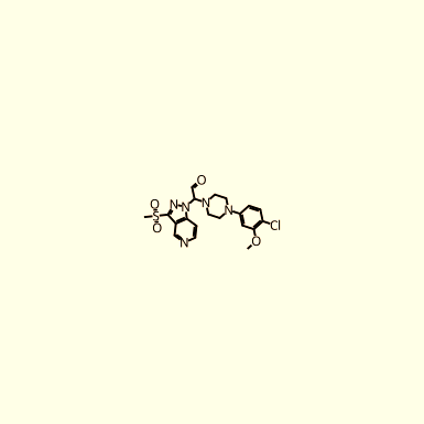 COc1cc(N2CCN(C(C=O)n3nc(S(C)(=O)=O)c4cnccc43)CC2)ccc1Cl